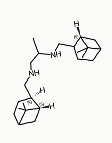 CC(CNC[C@@H]1CCC2C[C@@H]1C2(C)C)NCC1CCC2C[C@@H]1C2(C)C